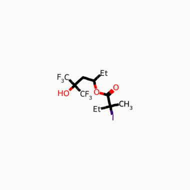 CCC(CC(O)(C(F)(F)F)C(F)(F)F)OC(=O)C(C)(I)CC